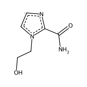 NC(=O)c1n[c]cn1CCO